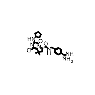 CC1(C)C[C@@H](C(=O)NCc2ccc(C(=N)N)cc2)n2c1c(Cl)nc(NC1CCCC1)c2=O